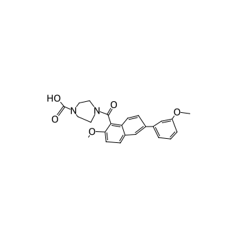 COc1cccc(-c2ccc3c(C(=O)N4CCN(C(=O)O)CC4)c(OC)ccc3c2)c1